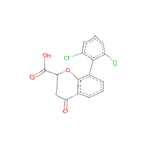 O=C1CC(C(=O)O)Oc2c1cccc2-c1c(Cl)cccc1Cl